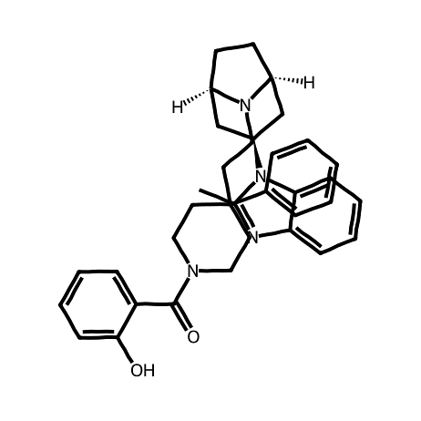 Cc1nc2ccccc2n1[C@H]1C[C@H]2CC[C@@H](C1)N2CCC1(c2ccccc2)CCN(C(=O)c2ccccc2O)CC1